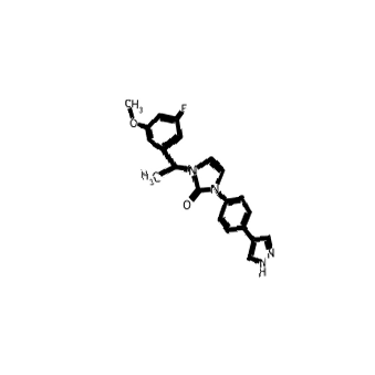 COc1cc(F)cc(C(C)n2ccn(-c3ccc(-c4cn[nH]c4)cc3)c2=O)c1